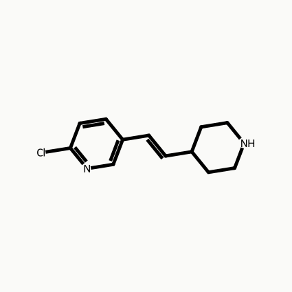 Clc1ccc(C=CC2CCNCC2)cn1